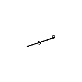 CCCCCCCCCCCCCCCCCCOCCCCCCCCCCCCCCCCCCCCC1CO1